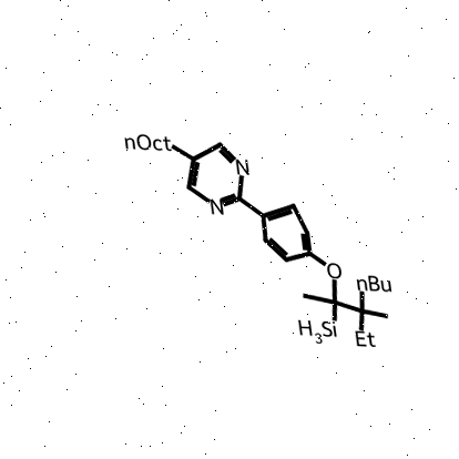 CCCCCCCCc1cnc(-c2ccc(OC(C)([SiH3])C(C)(CC)CCCC)cc2)nc1